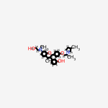 CC1=C(c2cccc(O)c2)C(c2ccc(OCC(C)N3CCC(C)C3)cc2)Oc2cc(N(C)CCO)ccc21